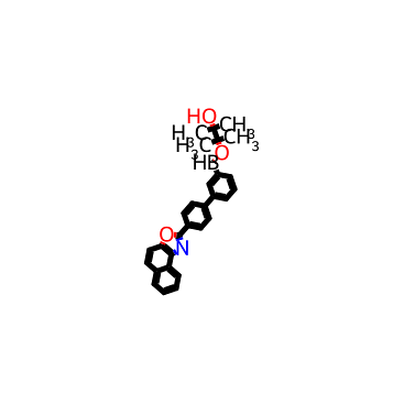 CC(C)(O)C(C)(C)OBc1cccc(-c2ccc(-c3nc4c(ccc5ccccc54)o3)cc2)c1